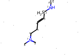 CCN[SiH2]C=CCCN(C)C